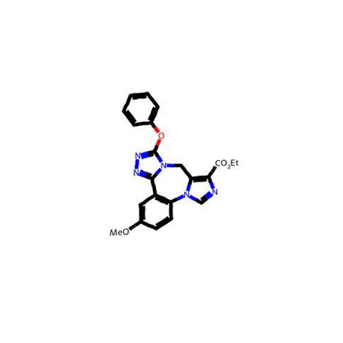 CCOC(=O)c1ncn2c1Cn1c(Oc3ccccc3)nnc1-c1cc(OC)ccc1-2